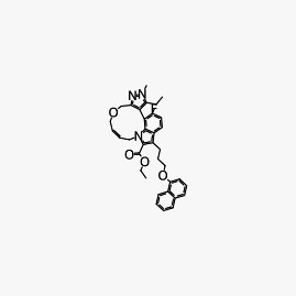 CCOC(=O)c1c(CCCOc2cccc3ccccc23)c2ccc(F)c3c2n1C/C=C\COCc1nn(C)c(CC)c1-3